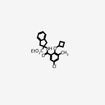 CCOC(=O)C1(NC(=O)c2cc(Cl)cc(C)c2OC2CCC2)Cc2ccccc2C1